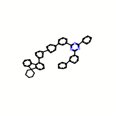 c1ccc(-c2cccc(-c3nc(-c4ccccc4)nc(-c4cccc(-c5ccc(-c6cccc(-c7cccc8c7-c7ccccc7C87CCCCC7)c6)cc5)c4)n3)c2)cc1